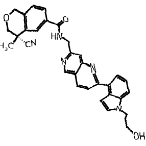 C[C@@]1(C#N)COCc2ccc(C(=O)NCc3cc4nc(-c5cccc6c5ccn6CCO)ccc4cn3)cc21